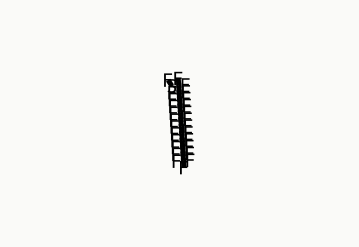 FSC(F)(F)C(F)(F)C(F)(F)C(F)(F)C(F)(F)C(F)(F)C(F)(F)C(F)(F)C(F)(F)C(F)(F)C(F)(F)C(F)(F)F